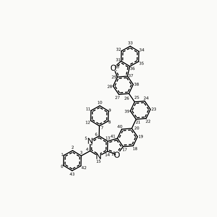 c1ccc(-c2nc(-c3ccccc3)c3c(n2)oc2ccc(-c4cccc(-c5ccc6oc7ccccc7c6c5)c4)cc23)cc1